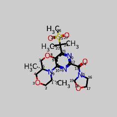 C[C@@H]1COC[C@@]2(C)COc3c(nc(C(=O)N4CCOC4)nc3C(C)(C)S(C)(=O)=O)N12